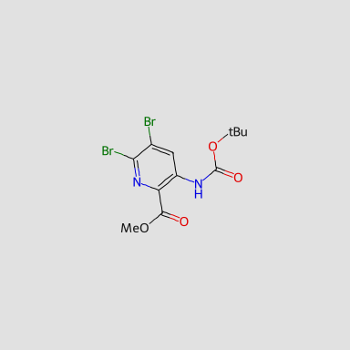 COC(=O)c1nc(Br)c(Br)cc1NC(=O)OC(C)(C)C